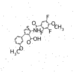 COc1cccc(-c2csc(NC(=O)c3cc(F)c(OC)c(F)c3F)c2C(=O)O)c1